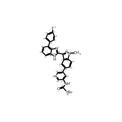 Cn1nc(-c2nc3c(-c4ccc(F)cc4)cccc3[nH]2)c2cc(-c3cncc(NC(=O)C(C)(C)C)c3)ccc21